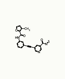 Cc1ccoc1C(=O)Nc1cccc(C#Cc2cncc(C(=O)N=S)c2)c1